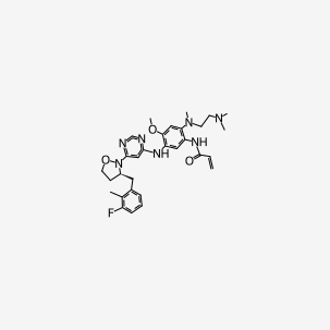 C=CC(=O)Nc1cc(Nc2cc(N3OCC[C@@H]3Cc3cccc(F)c3C)ncn2)c(OC)cc1N(C)CCN(C)C